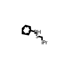 CC(C)CSBc1ccccc1